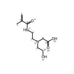 C=C(C)C(=O)NCCN(CCO)CC(=O)O